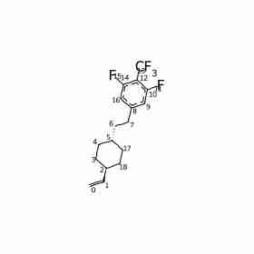 C=C[C@H]1CC[C@H](CCc2cc(F)c(C(F)(F)F)c(F)c2)CC1